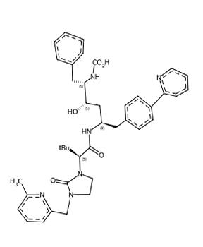 Cc1cccc(CN2CCN([C@H](C(=O)N[C@H](Cc3ccc(-c4ccccn4)cc3)C[C@H](O)[C@H](Cc3ccccc3)NC(=O)O)C(C)(C)C)C2=O)n1